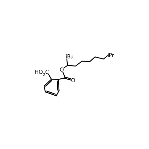 CCC(C)C(CCCCCC(C)C)OC(=O)c1ccccc1C(=O)O